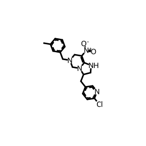 Cc1cccc(CN2CC([N+](=O)[O-])=C3NCC(Cc4ccc(Cl)nc4)N3C2)c1